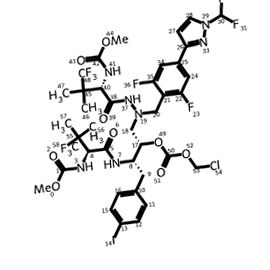 COC(=O)N[C@H](C(=O)N[C@@H](Cc1ccc(I)cc1)[C@H](CN(Cc1c(F)cc(-c2ccn(C(F)F)n2)cc1F)NC(=O)[C@@H](NC(=O)OC)C(C)(C)C(F)(F)F)OC(=O)OCCl)C(C)(C)C(F)(F)F